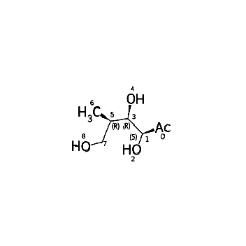 CC(=O)[C@@H](O)[C@H](O)[C@H](C)CO